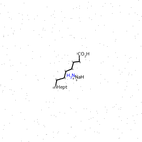 CCCCCCCCCCCCCC(=O)O.N.[NaH]